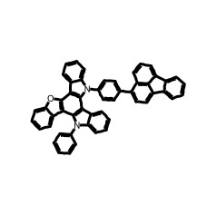 c1ccc(-n2c3ccccc3c3c4c(c5ccccc5n4-c4ccc(-c5ccc6c7c(cccc57)-c5ccccc5-6)cc4)c4oc5ccccc5c4c32)cc1